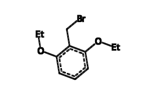 CCOc1cccc(OCC)c1CBr